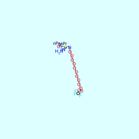 CCCN(CCC)C(=O)C1=Cc2sc(CN(C)CCOCCOCCOCCOCCOCCOCCOCCOCCOCCOC(=O)Oc3c(F)c(F)cc(F)c3F)cc2N=C(N)C1